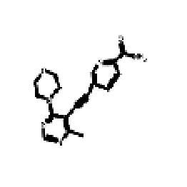 Cc1ncnc(N2CCOCC2)c1C#Cc1c[c]c(C(N)=O)nc1